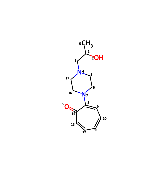 CC(O)CN1CCN(c2cccccc2=O)CC1